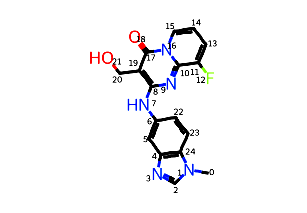 Cn1cnc2cc(Nc3nc4c(F)cccn4c(=O)c3CO)ccc21